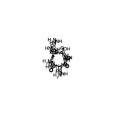 N=C(N)NCCC[C@@H]1NC(=O)[C@@H](Cc2ccccc2)NC(=O)[C@H](CC2CN=CN2)NC(=O)C(CCC(=O)O)NC(=O)[C@@H](NC(=O)[C@@H](CCCNC(=N)N)N2C(=O)CNC2=O)CSSC[C@@H](C(N)=O)NC(=O)[C@H](Cc2c[nH]c3ccccc23)NC1=O